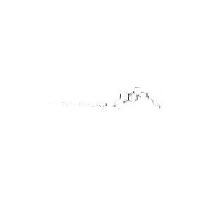 CC(C)CCC[C@@H](C)[C@H]1CC[C@H]2[C@@H]3CC=C4C[C@@H](OC(=O)NCCCCCCCCCCCCO)CC[C@]4(C)[C@H]3CC[C@]12C